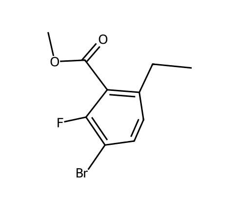 CCc1ccc(Br)c(F)c1C(=O)OC